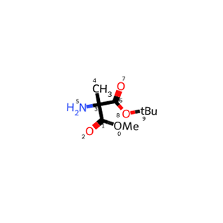 COC(=O)C(C)(N)C(=O)OC(C)(C)C